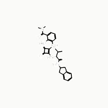 CC(C)[C@@H](Nc1c(Nc2cccc(C(=O)N(C)C)c2O)c(=O)c1=O)C(=O)NC1Cc2ccccc2C1